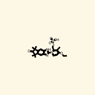 CCOc1cc[n+](-c2nc3cc4c(cc3[nH]2)C(C)(C)C(=O)C4(C)C)c(CSS(=O)(=O)O)c1C